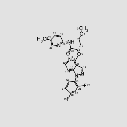 COCC[C@H](Oc1ncnc2c1cnn2-c1ccc(F)cc1F)C(=O)Nc1ccc(C)cn1